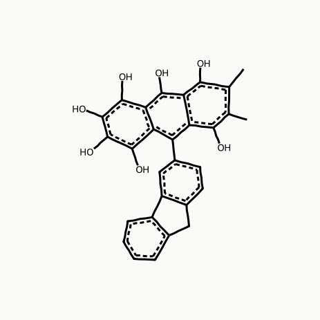 Cc1c(C)c(O)c2c(-c3ccc4c(c3)-c3ccccc3C4)c3c(O)c(O)c(O)c(O)c3c(O)c2c1O